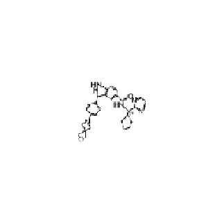 O=C(N[C@@H](c1ncccn1)C1CCCC1)c1ccc2[nH]nc(-c3ccc(N4CC5(COC5)C4)cc3)c2c1